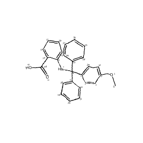 COc1ccc(C(Nc2ccccc2C(=O)O)(c2ccccc2)c2ccccc2)cc1